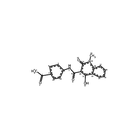 CC(=O)c1ccc(NC(=O)c2c(O)c3ccccc3n(C)c2=O)cc1